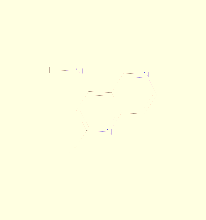 CCNc1cc(Cl)nc2ccncc12